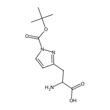 CC(C)(C)OC(=O)n1ccc(CC(N)C(=O)O)n1